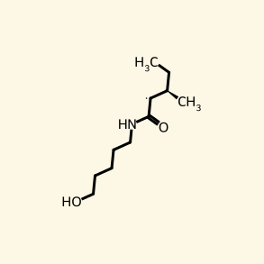 CC[C@@H](C)[CH]C(=O)NCCCCCO